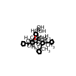 CC(C)(c1ccccc1)c1ccc(OC(c2ccc(C(C)(C)c3ccccc3)cc2C(C)(C)c2ccccc2)C(CO)(CO)CO)c(C(C)(C)c2ccccc2)c1.OP(O)O